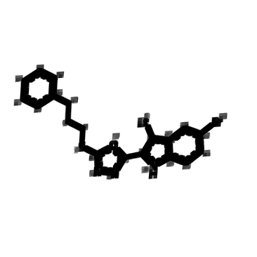 CCc1c(-c2nnc(SCCCc3ccccc3)o2)[nH]c2ccc(Br)cc12